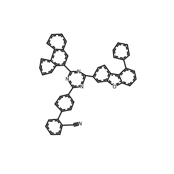 N#Cc1ccccc1-c1ccc(-c2nc(-c3ccc4c(c3)oc3cccc(-c5ccccc5)c34)nc(-c3cc4ccccc4c4ccccc34)n2)cc1